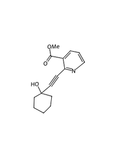 COC(=O)c1cccnc1C#CC1(O)CCCCC1